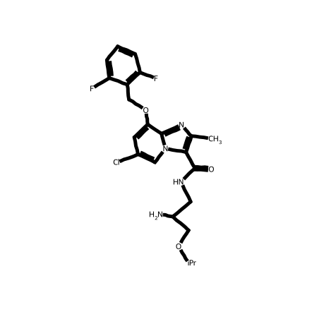 Cc1nc2c(OCc3c(F)cccc3F)cc(Cl)cn2c1C(=O)NCC(N)COC(C)C